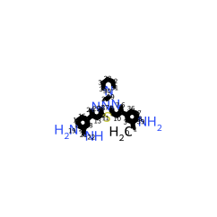 C=Cc1cc(-c2cnc3c(c2)Sc2cc(-c4ccc(N)c(C=N)c4)cnc2N3CCN2CCCCC2)ccc1N